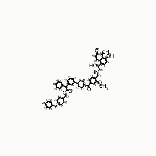 CNc1c(O)ccc(C(O)CNCc2ccc(C(=O)N3CCC(c4cccc(C(C(=O)OCC5CCN(Cc6ccccc6)CC5)c5ccccc5)c4)CC3)cc2OC)c1/C=C\C=O